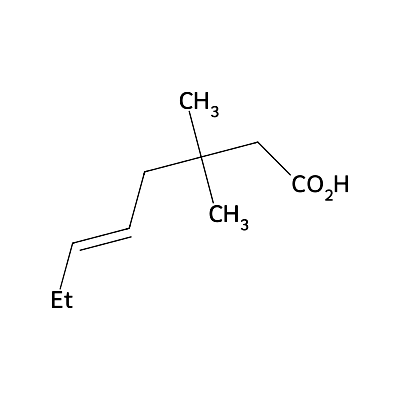 CCC=CCC(C)(C)CC(=O)O